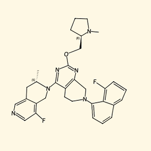 C[C@H]1Cc2cncc(F)c2CN1c1nc(OC[C@H]2CCCN2C)nc2c1CCN(c1cccc3cccc(F)c13)C2